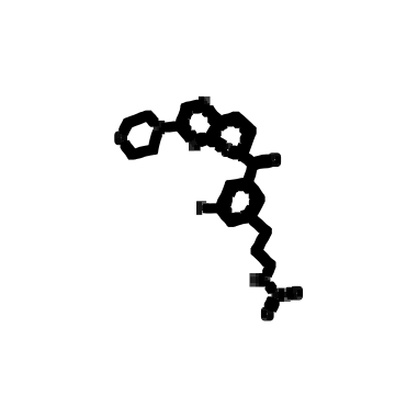 O=C(c1cc(F)cc(CCCN[SH](=O)=O)c1)c1ccc2ncc(N3CCOCC3)nc2c1